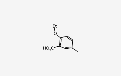 CCOc1ccc(C)cc1C(=O)O